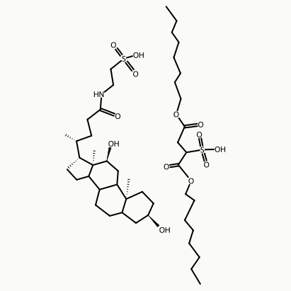 CCCCCCCCOC(=O)CC(C(=O)OCCCCCCCC)S(=O)(=O)O.C[C@H](CCC(=O)NCCS(=O)(=O)O)[C@H]1CCC2C3CCC4C[C@H](O)CC[C@]4(C)C3C[C@H](O)[C@@]21C